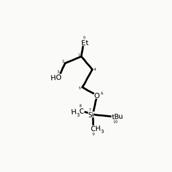 CCC(CO)CCO[Si](C)(C)C(C)(C)C